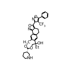 CC[C@@](O)(COC(=O)[C@H]1CCCNC1)c1cc2c(cc1C)-c1noc(-c3noc(-c4ccccc4)c3C(F)(F)F)c1CC2